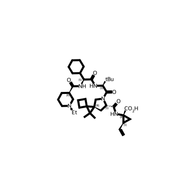 C=C[C@@H]1C[C@]1(NC(=O)[C@@H]1C[C@@]2(CN1C(=O)[C@@H](NC(=O)[C@@H](NC(=O)[C@@H]1CCCN(CC)C1)C1CCCCC1)C(C)(C)C)C(C)(C)C21CCC1)C(=O)O